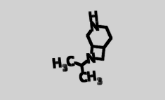 CC(C)N1CC2CCNCC21